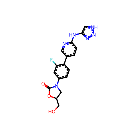 O=C1OC(CO)CN1c1ccc(-c2ccc(Nc3c[nH]nn3)nc2)c(F)c1